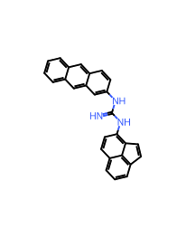 N=C(Nc1ccc2cc3ccccc3cc2c1)Nc1ccc2cccc3c2c1C=C3